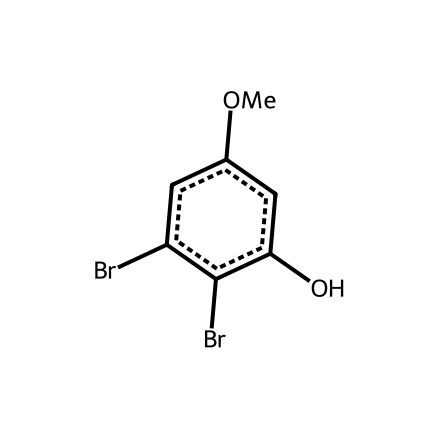 COc1cc(O)c(Br)c(Br)c1